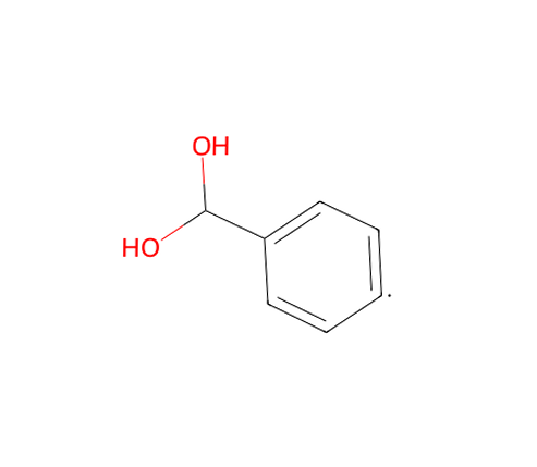 OC(O)c1cc[c]cc1